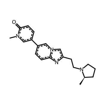 C[C@@H]1CCCN1CCc1cn2cc(-c3ccc(=O)n(C)c3)ccc2n1